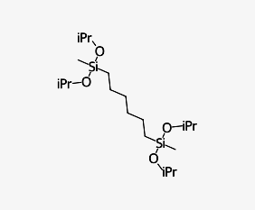 CC(C)O[Si](C)(CCCCCC[Si](C)(OC(C)C)OC(C)C)OC(C)C